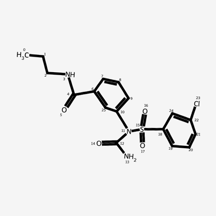 CCCNC(=O)c1cccc(N(C(N)=O)S(=O)(=O)c2cccc(Cl)c2)c1